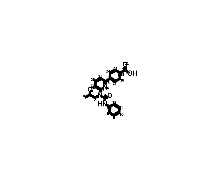 CC1CN(C(=O)Nc2ccccc2)c2nc(C3=CCC(C(=O)O)C=C3)ccc2O1